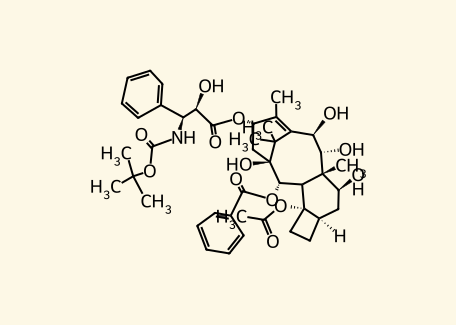 CC(=O)O[C@@]12CC[C@@H]1C[C@H](O)[C@]1(C)C2[C@H](OC(=O)c2ccccc2)[C@]2(O)C[C@H](OC(=O)[C@H](O)[C@@H](NC(=O)OC(C)(C)C)c3ccccc3)C(C)=C([C@@H](O)[C@@H]1O)C2(C)C